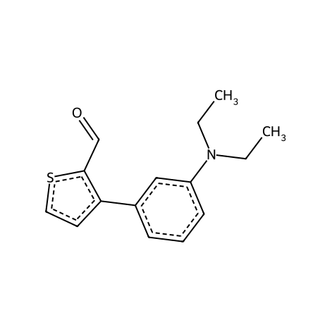 CCN(CC)c1cccc(-c2ccsc2C=O)c1